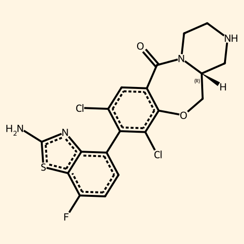 Nc1nc2c(-c3c(Cl)cc4c(c3Cl)OC[C@H]3CNCCN3C4=O)ccc(F)c2s1